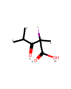 CC(C)C(=O)C(C)(I)C(=O)O